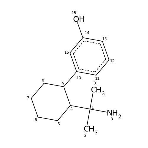 CC(C)(N)C1CCCCC1c1cccc(O)c1